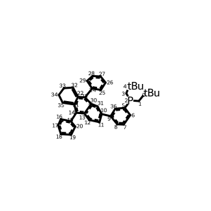 CC(C)(C)CP(CC(C)(C)C)c1cccc(-c2ccc3c(-c4ccccc4)c4c(c(-c5ccccc5)c3c2)=CCCC=4)c1